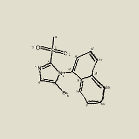 CS(=O)(=O)c1ncc(Br)n1-c1cccc2ccccc12